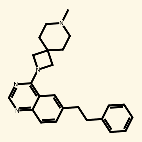 CN1CCC2(CC1)CN(c1ncnc3ccc(CCc4ccccc4)cc13)C2